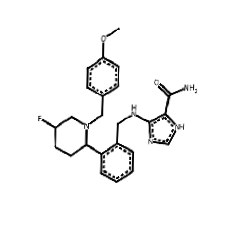 COc1ccc(CN2CC(F)CCC2c2ccccc2CNc2nc[nH]c2C(N)=O)cc1